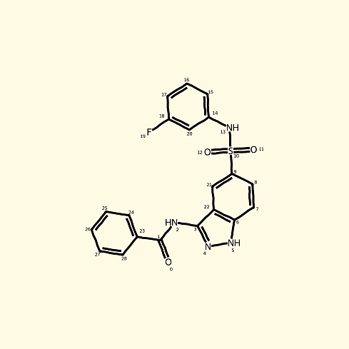 O=C(Nc1n[nH]c2ccc(S(=O)(=O)Nc3cccc(F)c3)cc12)c1ccccc1